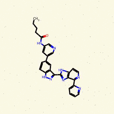 CCCCC(=O)Nc1cncc(-c2ccc3[nH]nc(-c4nc5c(-c6ccccn6)nccc5[nH]4)c3c2)c1